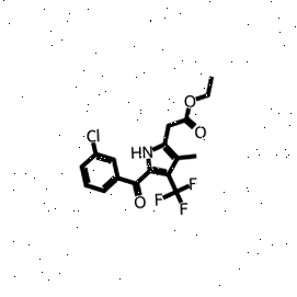 CCOC(=O)Cc1[nH]c(C(=O)c2cccc(Cl)c2)c(C(F)(F)F)c1C